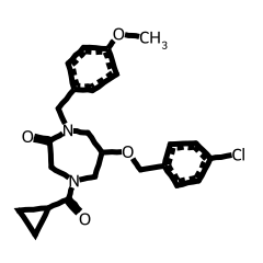 COc1ccc(CN2CC(OCc3ccc(Cl)cc3)CN(C(=O)C3CC3)CC2=O)cc1